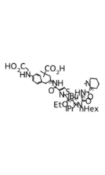 CCCCCCN(C(=O)[C@@H](NC(=O)[C@H]1CCCCN1C)[C@@H](C)CC)[C@H](C[C@@H](OCC)c1nc(C(=O)N[C@@H](Cc2ccc(NCC(=O)O)cc2)CC(C)(C)C(=O)O)cs1)C(C)C